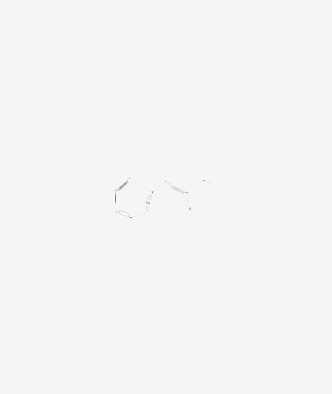 CCC/C(=C\c1cccc(F)c1)COC(C)=O